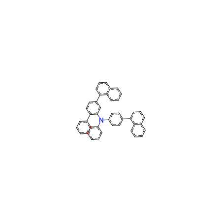 c1ccc(-c2ccc(-c3cccc4ccccc34)cc2N(c2ccccc2)c2ccc(-c3cccc4ccccc34)cc2)cc1